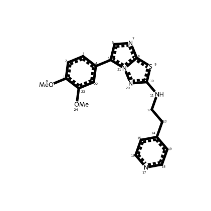 COc1ccc(-c2cnc3sc(NCCc4ccncc4)nn23)cc1OC